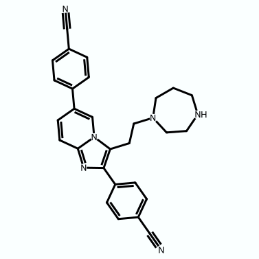 N#Cc1ccc(-c2ccc3nc(-c4ccc(C#N)cc4)c(CCN4CCCNCC4)n3c2)cc1